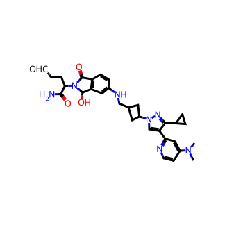 CN(C)c1ccnc(-c2cn(C3CC(CNc4ccc5c(c4)C(O)N(C(CCC=O)C(N)=O)C5=O)C3)nc2C2CC2)c1